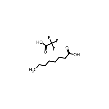 CCCCCCCC(=O)O.O=C(O)C(F)(F)F